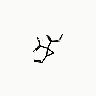 C=CC1CC1(C(N)=O)C(=O)OC